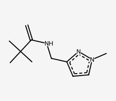 C=C(NCc1ccn(C)n1)C(C)(C)C